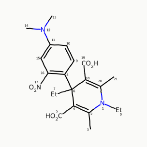 CCN1C(C)=C(C(=O)O)C(CC)(c2ccc(N(C)C)cc2[N+](=O)[O-])C(C(=O)O)=C1C